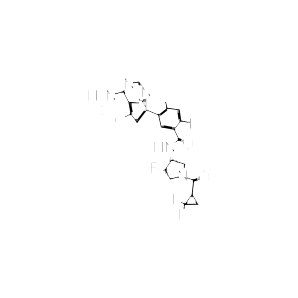 Nc1ncnn2c(-c3cc(C(=O)N[C@@H]4CN(C(=O)C5CC5(F)F)C[C@@H]4F)c(F)cc3F)cc(C(F)(F)F)c12